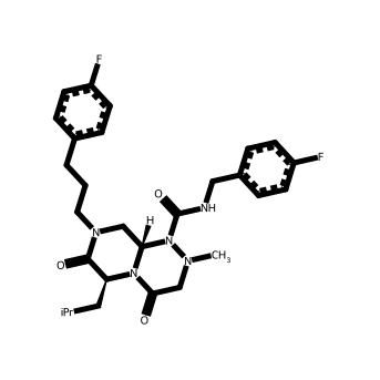 CC(C)C[C@H]1C(=O)N(CCCc2ccc(F)cc2)C[C@H]2N1C(=O)CN(C)N2C(=O)NCc1ccc(F)cc1